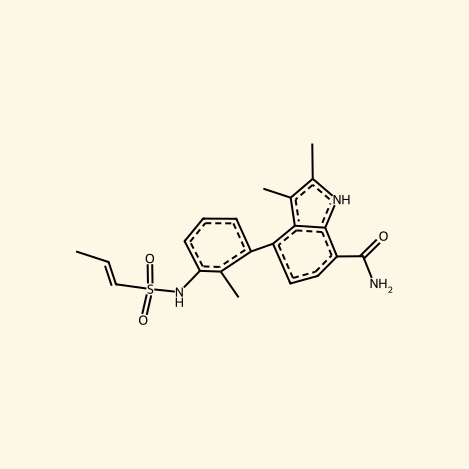 CC=CS(=O)(=O)Nc1cccc(-c2ccc(C(N)=O)c3[nH]c(C)c(C)c23)c1C